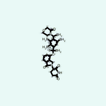 Bc1cc(C(B)(B)Oc2cccc3c2CN(C2CCC(=O)NC2=O)C3=O)c(B)c(B)c1C(B)N1CCOCC1=O